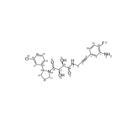 Nc1cc(C#CCNC(=O)[C@H](O)[C@@H](O)C(=O)N2CCCC2c2cccc(Cl)c2)ccc1F